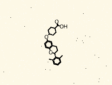 Cc1cccc(C)c1C1CCc2cc(OC3CCC(C(=O)O)CC3)ccc2O1